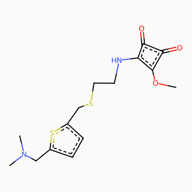 COc1c(NCCSCc2ccc(CN(C)C)s2)c(=O)c1=O